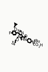 Cc1c(C(=O)N[C@H]2CC[C@@H](N(C(=O)O)C(C)(C)C)CC2)c2ncnc(-c3ccc(F)cc3OCC3CC3)c2n1COCC[Si](C)(C)C